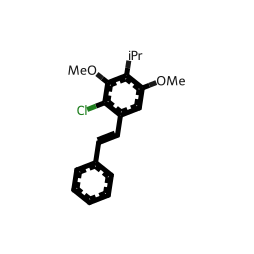 COc1cc(C=Cc2ccccc2)c(Cl)c(OC)c1C(C)C